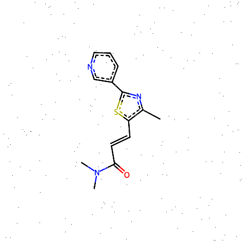 Cc1nc(-c2cccnc2)sc1C=CC(=O)N(C)C